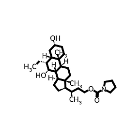 CC[C@H]1[C@@H](O)[C@@H]2[C@H](CC[C@]3(C)[C@@H]([C@H](C)CCOC(=O)N4CCCC4)CC[C@@H]23)[C@@]2(C)CC[C@@H](O)C[C@@H]12